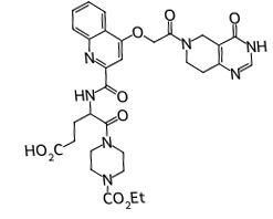 CCOC(=O)N1CCN(C(=O)C(CCC(=O)O)NC(=O)c2cc(OCC(=O)N3CCc4nc[nH]c(=O)c4C3)c3ccccc3n2)CC1